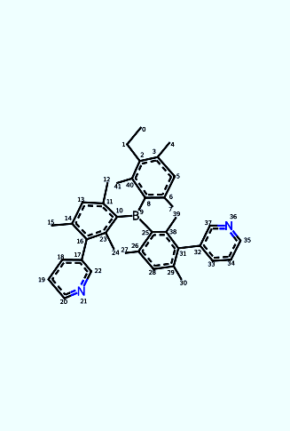 CCc1c(C)cc(C)c(B(c2c(C)cc(C)c(-c3cccnc3)c2C)c2c(C)cc(C)c(-c3cccnc3)c2C)c1C